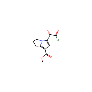 COC(=O)c1cc(C(=O)C(=O)Cl)n2c1CCC2